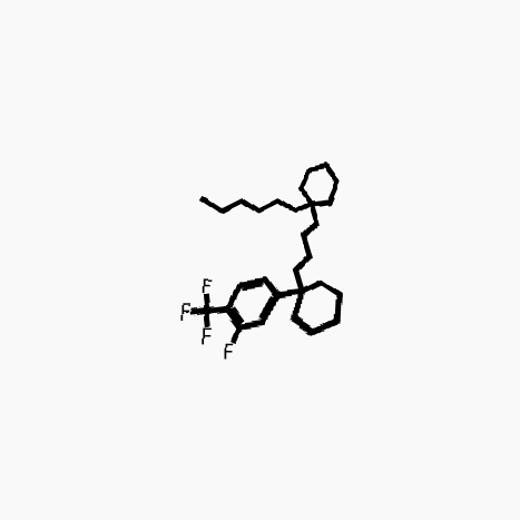 CCCCCCC1(CCCCC2(c3ccc(C(F)(F)F)c(F)c3)CCCCC2)CCCCC1